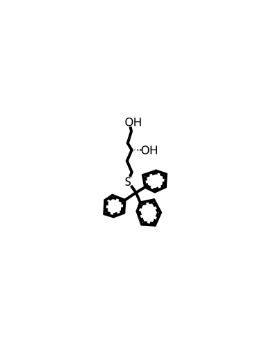 OCC[C@H](O)CCSC(c1ccccc1)(c1ccccc1)c1ccccc1